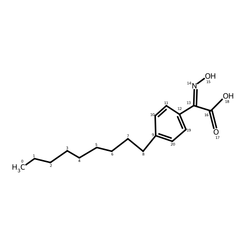 CCCCCCCCCc1ccc(C(=NO)C(=O)O)cc1